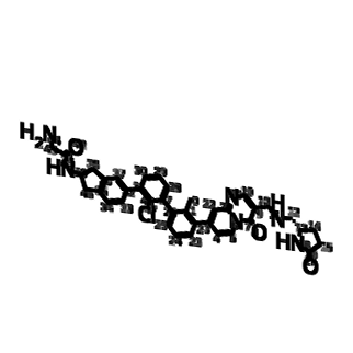 Cc1c(-c2ccn3c(=O)c(CNC[C@@H]4CCC(=O)N4)cnc3c2)cccc1-c1cccc(-c2ccc3c(c2)CC(NC(=O)CN)C3)c1Cl